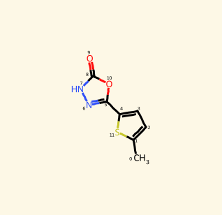 Cc1ccc(-c2n[nH]c(=O)o2)s1